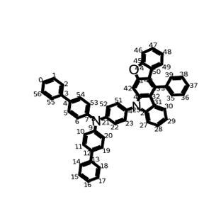 c1ccc(-c2ccc(N(c3ccc(-c4ccccc4)cc3)c3ccc(-n4c5ccccc5c5c(-c6ccccc6)c6c(cc54)oc4ccccc46)cc3)cc2)cc1